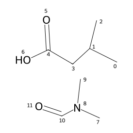 CC(C)CC(=O)O.CN(C)C=O